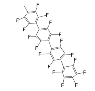 Cc1c(F)c(F)c(-c2c(F)c(F)c(-c3c(F)c(F)c(-c4c(F)c(F)c(F)c(F)c4F)c(F)c3F)c(F)c2F)c(F)c1F